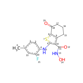 Cc1ccc(Nc2sc3c(c2C(=O)NO)CCCC3=O)c(F)c1